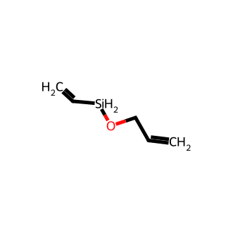 C=CCO[SiH2]C=C